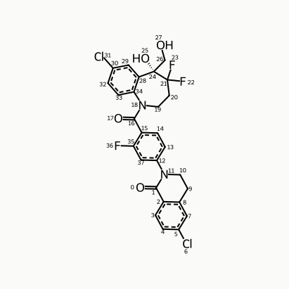 O=C1c2ccc(Cl)cc2CCN1c1ccc(C(=O)N2CCC(F)(F)[C@](O)(CO)c3cc(Cl)ccc32)c(F)c1